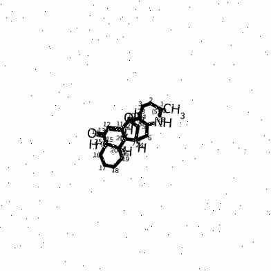 C[C@H]1CC[C@@H]2C(C[C@@H]3C[C@]2(O)C2=CC(=O)[C@@H]4CCCC[C@H]4[C@@H]23)N1